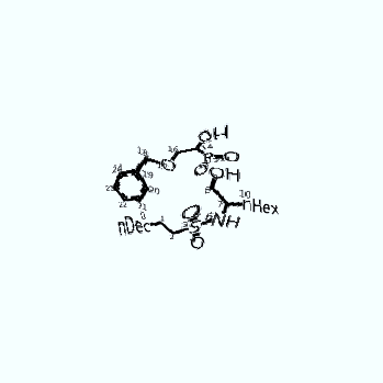 CCCCCCCCCCCCS(=O)(=O)NC(CO)CCCCCC.O=P(=O)C(O)COCc1ccccc1